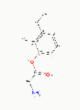 CCc1cccc(OC(=O)CN)c1C